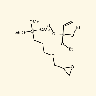 C=C[Si](OCC)(OCC)OCC.CO[Si](CCCOCC1CO1)(OC)OC